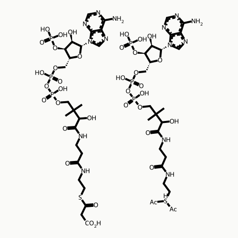 CC(=O)[SH](CCNC(=O)CCNC(=O)C(O)C(C)(C)COP(=O)(O)OP(=O)(O)OC[C@H]1O[C@@H](n2cnc3c(N)ncnc32)[C@H](O)[C@@H]1OP(=O)(O)O)C(C)=O.CC(C)(COP(=O)(O)OP(=O)(O)OC[C@H]1O[C@@H](n2cnc3c(N)ncnc32)[C@H](O)[C@@H]1OP(=O)(O)O)C(O)C(=O)NCCC(=O)NCCSC(=O)CC(=O)O